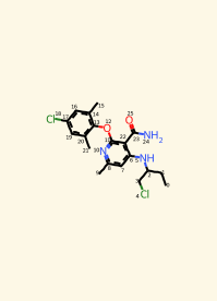 CCC(CCl)Nc1cc(C)nc(Oc2c(C)cc(Cl)cc2C)c1C(N)=O